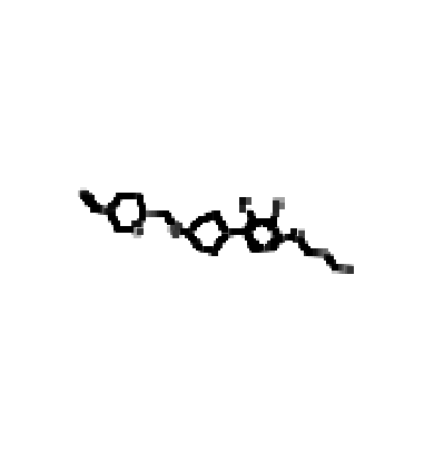 C=CC1CCC(COC2CCC(c3ccc(OCCCC)c(F)c3F)CC2)OC1